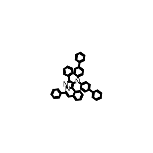 c1ccc(-c2ccc(N(c3ccc(-c4ccccc4)cc3)c3c(-c4ccccc4)nn4c(-c5ccccc5)cc5ccccc5c34)cc2)cc1